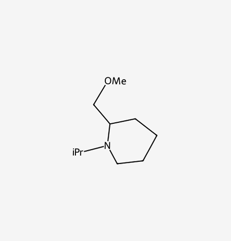 COCC1CCCCN1C(C)C